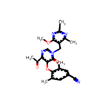 COc1nc(C)nc(C)c1Cn1cnc(C(C)=O)c(Oc2c(C)cc(C#N)cc2C)c1=O